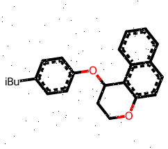 CCC(C)c1ccc(OC2CCOc3ccc4ccccc4c32)cc1